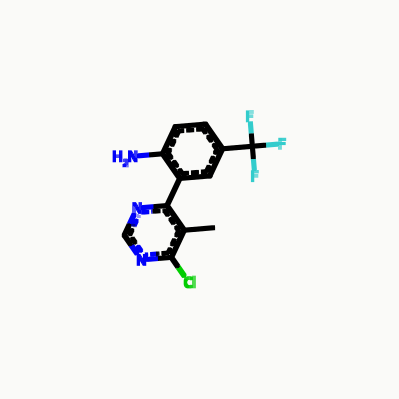 Cc1c(Cl)ncnc1-c1cc(C(F)(F)F)ccc1N